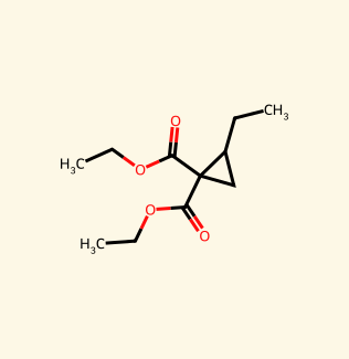 CCOC(=O)C1(C(=O)OCC)CC1CC